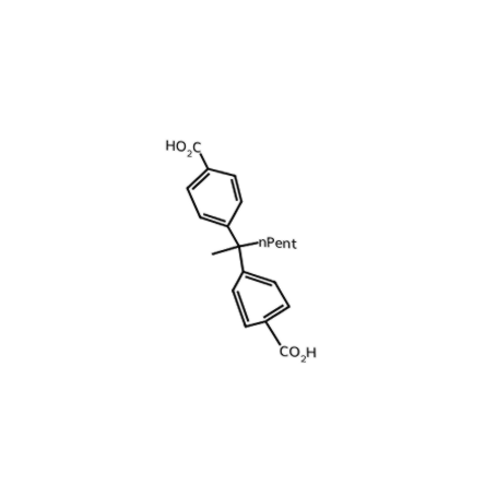 CCCCCC(C)(c1ccc(C(=O)O)cc1)c1ccc(C(=O)O)cc1